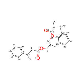 CC(COC(=O)CC(C)c1ccccc1)COC(=O)C(C)C(C)c1ccccc1